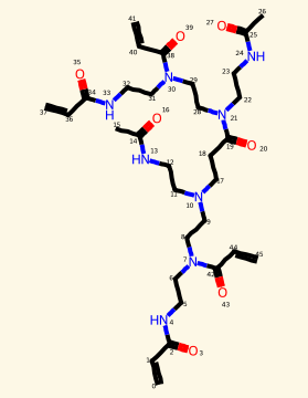 C=CC(=O)NCCN(CCN(CCNC(C)=O)CCC(=O)N(CCNC(C)=O)CCN(CCNC(=O)C=C)C(=O)C=C)C(=O)C=C